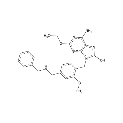 CCOc1nc(N)c2nc(O)n(Cc3ccc(CNCc4ccccc4)cc3OC)c2n1